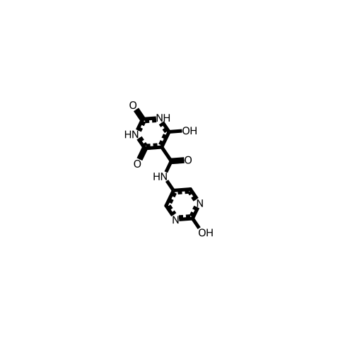 O=C(Nc1cnc(O)nc1)c1c(O)[nH]c(=O)[nH]c1=O